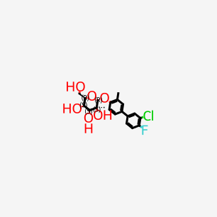 Cc1cc(-c2ccc(F)c(Cl)c2)ccc1O[C@H]1O[C@H](CO)[C@@H](O)[C@H](O)[C@]1(C)O